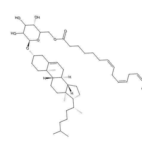 CC/C=C\C/C=C\C/C=C\CCCCCC(=O)OCC1O[C@@H](O[C@H]2CC[C@@]3(C)C(=CC[C@H]4[C@@H]5CC[C@H]([C@H](C)CCCC(C)C)[C@@]5(C)CC[C@@H]43)C2)C(O)C(O)[C@@H]1O